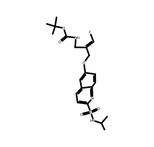 CC(C)NS(=O)(=O)c1ccc2cc(OC/C(=C/F)CNC(=O)OC(C)(C)C)ccc2n1